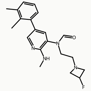 CNc1ncc(-c2cccc(C)c2C)cc1N(C=O)CCN1CC(F)C1